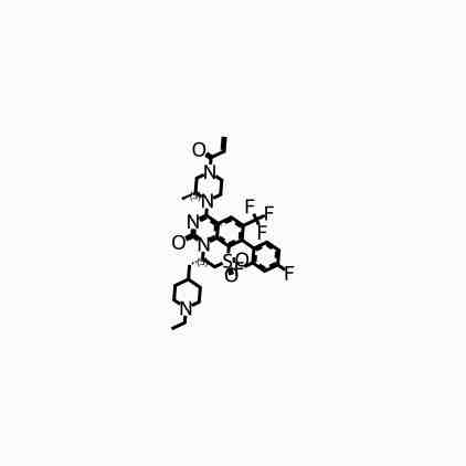 C=CC(=O)N1CCN(c2nc(=O)n3c4c(c(-c5ccc(F)cc5F)c(C(F)(F)F)cc24)S(=O)(=O)C[C@@H]3CC2CCN(CC)CC2)[C@@H](C)C1